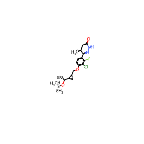 CC1CC(=O)NN=C1c1ccc(OCC2CC2C(O[SiH](C)C)C(C)(C)C)c(Cl)c1F